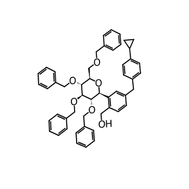 OCc1ccc(Cc2ccc(C3CC3)cc2)cc1[C@@H]1O[C@H](COCc2ccccc2)[C@@H](OCc2ccccc2)[C@H](OCc2ccccc2)[C@H]1OCc1ccccc1